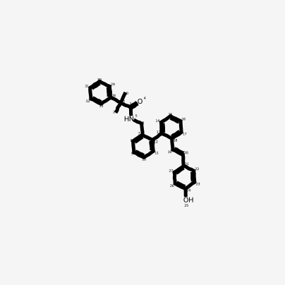 CC(C)(C(=O)NCc1ccccc1-c1ccccc1/C=C/c1ccc(O)cc1)c1ccccc1